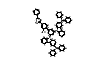 Cc1cc(-c2noc(-c3ccccc3)n2)ccc1-c1cc(-n2c3ccccc3c3cc(N(c4ccccc4)c4ccccc4)ccc32)cc(-n2c3ccccc3c3cc(N(c4ccccc4)c4ccccc4)ccc32)c1